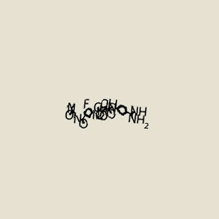 CN(C)C(=O)CN(C)C(=O)c1cc(F)cc(N2CCO[C@H]([C@@H](O)C(=O)Nc3ccc(C(=N)N)cc3)C2=O)c1